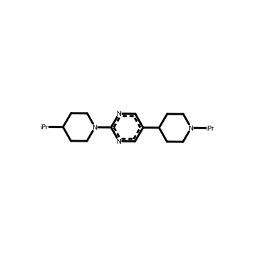 CC(C)C1CCN(c2ncc(C3CCN(C(C)C)CC3)cn2)CC1